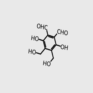 O=Cc1c(O)c(CO)c(CO)c(O)c1C=O